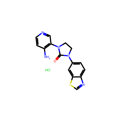 Cl.Nc1ccncc1N1CCN(c2ccc3ncsc3c2)C1=O